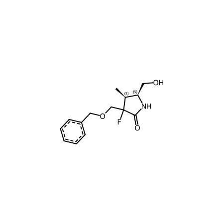 C[C@H]1[C@@H](CO)NC(=O)C1(F)COCc1ccccc1